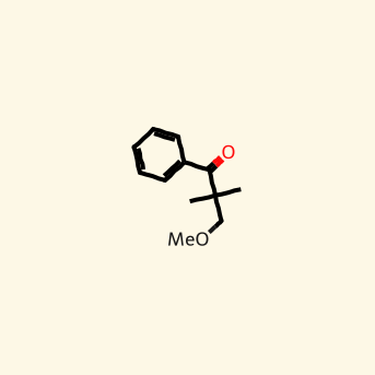 COCC(C)(C)C(=O)c1ccccc1